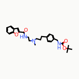 CN(CCCc1ccc(CNC(=O)OC(C)(C)C)cc1)CCNC(=O)c1cc2ccccc2o1